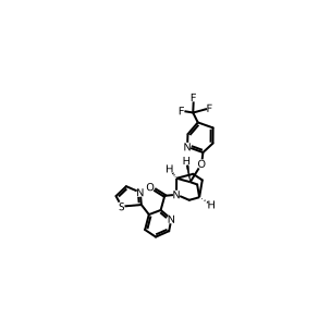 O=C(c1ncccc1-c1nccs1)N1C[C@@H]2CC[C@H]1[C@H](Oc1ccc(C(F)(F)F)cn1)C2